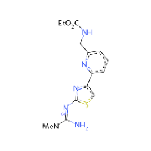 CCOC(=O)NCc1cccc(-c2csc(/N=C(\N)NC)n2)n1